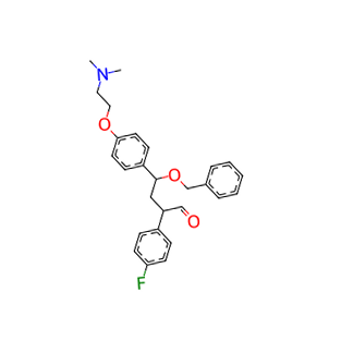 CN(C)CCOc1ccc(C(CC(C=O)c2ccc(F)cc2)OCc2ccccc2)cc1